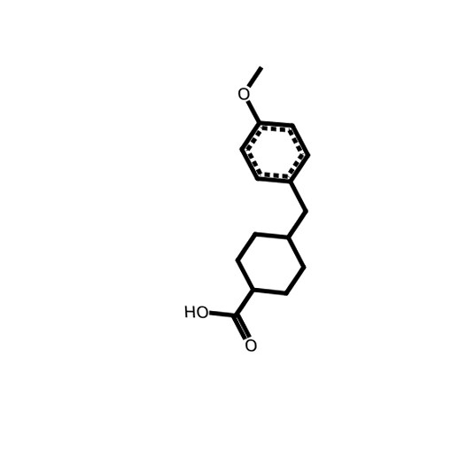 COc1ccc(CC2CCC(C(=O)O)CC2)cc1